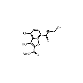 COC(=O)c1sc2c(C(=O)NCC(C)C)ccc(Cl)c2c1O